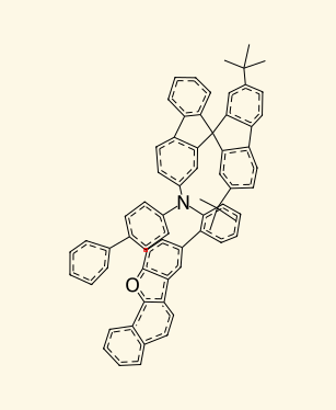 CC(C)(C)c1ccc2c(c1)C1(c3ccccc3-c3ccc(N(c4ccc(-c5ccccc5)cc4)c4ccccc4-c4ccc5oc6c7ccccc7ccc6c5c4)cc31)c1cc(C(C)(C)C)ccc1-2